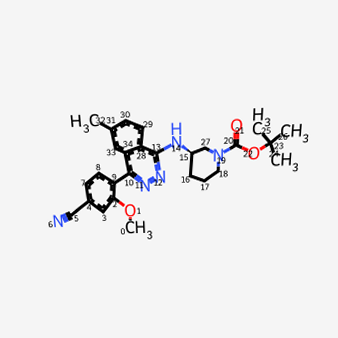 COc1cc(C#N)ccc1-c1nnc(N[C@@H]2CCCN(C(=O)OC(C)(C)C)C2)c2ccc(C)cc12